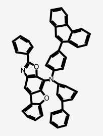 c1ccc(-c2cccc(N(c3ccc(-c4cc5ccccc5c5ccccc45)cc3)c3c4oc(-c5ccccc5)nc4cc4c3oc3ccccc34)c2)cc1